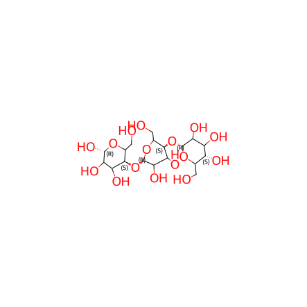 OCC1O[C@H](O[C@@H]2C(CO)O[C@H](O[C@@H]3C(CO)O[C@@H](O)C(O)C3O)C(O)C2O)C(O)C(O)[C@@H]1O